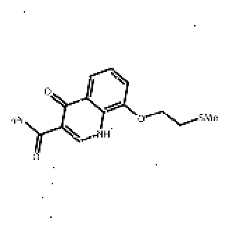 CCCC(=O)c1c[nH]c2c(OCCSC)cccc2c1=O